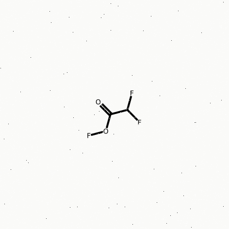 O=C(OF)C(F)F